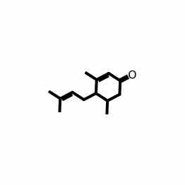 CC(C)=CCC1C(C)=CC(=O)CC1C